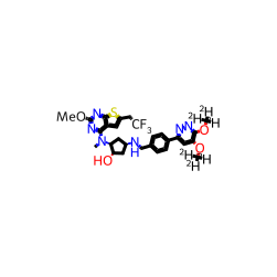 [2H]C([2H])([2H])Oc1cc(-c2ccc(CN[C@H]3C[C@@H](O)[C@@H](N(C)c4nc(OC)nc5sc(CC(F)(F)F)cc45)C3)cc2)nnc1OC([2H])([2H])[2H]